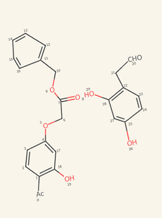 CC(=O)c1ccc(OCC(=O)OCc2ccccc2)cc1O.O=CCc1ccc(O)cc1O